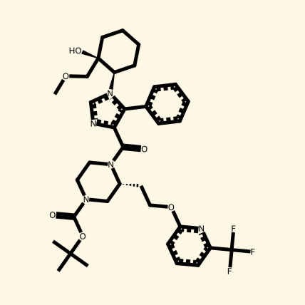 COC[C@]1(O)CCCC[C@H]1n1cnc(C(=O)N2CCN(C(=O)OC(C)(C)C)C[C@H]2CCOc2cccc(C(F)(F)F)n2)c1-c1ccccc1